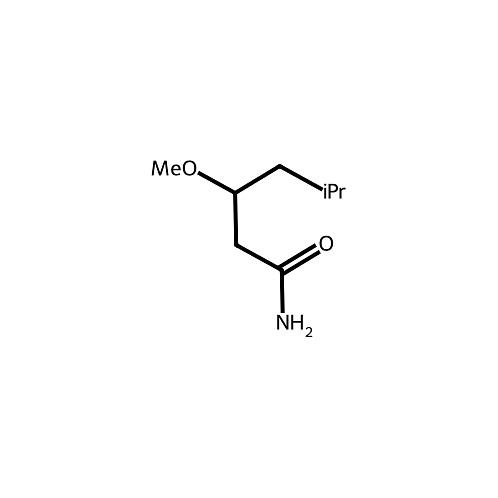 COC(CC(N)=O)CC(C)C